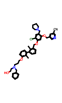 Cc1c(COc2cc(OCc3cncc(C#N)c3)c(CN3CCCCC3)cc2Cl)cccc1-c1cccc(OCCCN(CCO)Cc2ccccc2)c1C